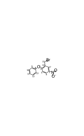 O=[N+]([O-])c1ccc(Oc2ccccc2)c(CBr)c1